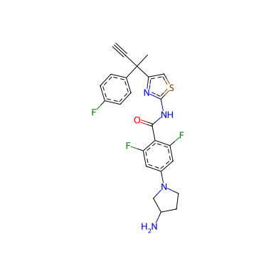 C#CC(C)(c1ccc(F)cc1)c1csc(NC(=O)c2c(F)cc(N3CCC(N)C3)cc2F)n1